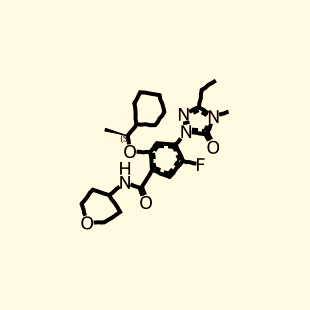 CCc1nn(-c2cc(O[C@@H](C)C3CCCCC3)c(C(=O)NC3CCOCC3)cc2F)c(=O)n1C